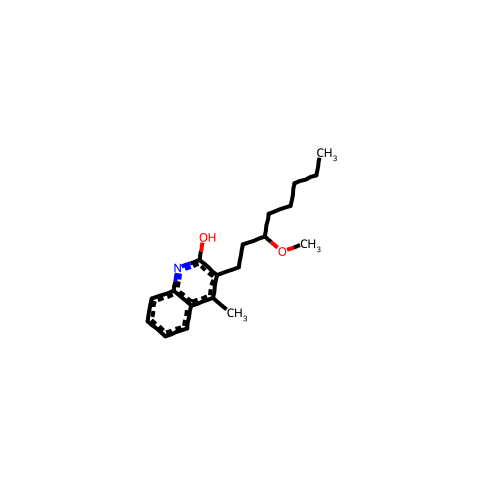 CCCCCC(CCc1c(O)nc2ccccc2c1C)OC